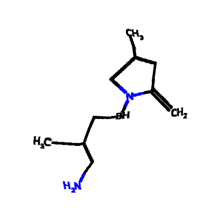 C=C1CC(C)CN1BCC(C)CN